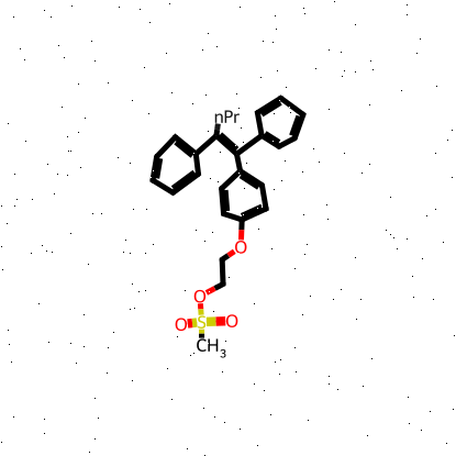 CCC/C(=C(\c1ccccc1)c1ccc(OCCOS(C)(=O)=O)cc1)c1ccccc1